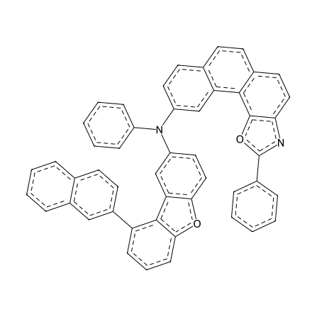 c1ccc(-c2nc3ccc4ccc5ccc(N(c6ccccc6)c6ccc7oc8cccc(-c9ccc%10ccccc%10c9)c8c7c6)cc5c4c3o2)cc1